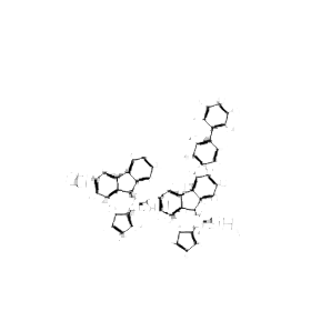 [Cl-].[Cl-].[SiH3][Zr+]([C]1=CC=CC1)[CH]1c2ccccc2-c2ccccc21.[SiH3][Zr+]([C]1=CC=CC1)[CH]1c2ccccc2-c2ccccc21.c1ccc(-c2ccccc2)cc1